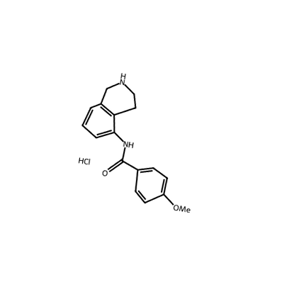 COc1ccc(C(=O)Nc2cccc3c2CCNC3)cc1.Cl